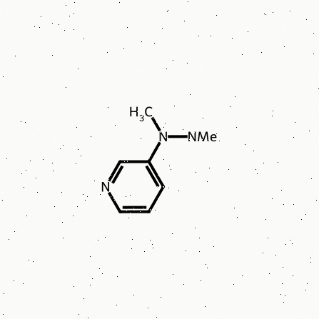 CNN(C)c1cccnc1